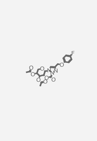 CC(=O)OC1COC(n2cc(COc3ccc(F)cc3)nn2)C(OC(C)=O)C1OC(C)=O